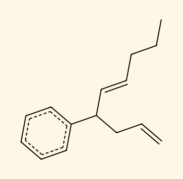 C=CCC(C=CCCC)c1ccccc1